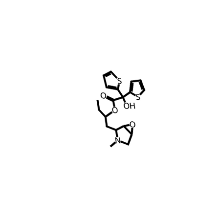 CCC(CC1C2OC2CN1C)OC(=O)C(O)(c1cccs1)c1cccs1